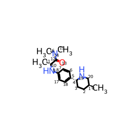 C[C@H]1CC[C@H](c2ccc(N[C@H](C)C(=O)N(C)C)cc2)NC1